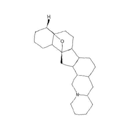 C1CCN2CC3C(CCC4C3C[C@]35O[C@@H]6CCCC3C6CCC45)CC2C1